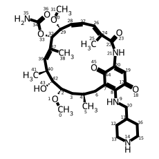 CO[C@H]1C[C@H](C)CC2=C(NCC3CCNCC3)C(=O)C=C(NC(=O)/C(C)=C/C=C\[C@@H](OC)[C@@H](OC(N)=O)/C(C)=C/[C@H](C)[C@H]1O)C2=O